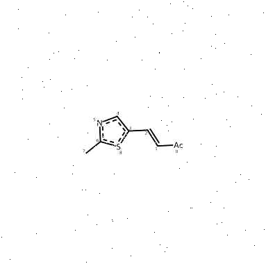 CC(=O)C=Cc1cnc(C)s1